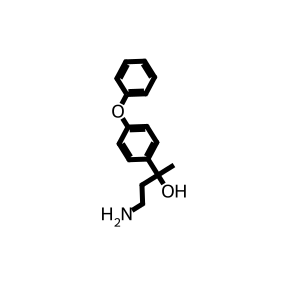 CC(O)(CCN)c1ccc(Oc2ccccc2)cc1